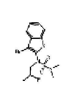 CN(C)S(=O)(=O)N(CC(F)F)c1sc2ccccc2c1Br